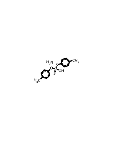 Cc1ccc(OP(O)(=S)Sc2ccc(C)cc2)cc1.N